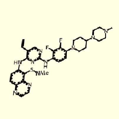 C=Cc1cnc(Nc2ccc(N3CCC(N4CCN(C)CC4)CC3)c(F)c2F)nc1Nc1ccc2nccnc2c1SNC